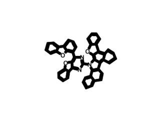 c1ccc2c(c1)ccc1c3c4ccccc4c4c5ccccc5oc4c3n(-c3nc(-c4cccc5c4oc4ccccc45)c4oc5ccccc5c4n3)c21